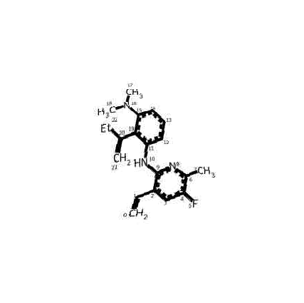 C=Cc1cc(F)c(C)nc1Nc1cccc(N(C)C)c1C(=C)CC